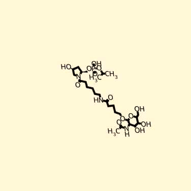 CC(=O)NC1C(OCCCCC(=O)NCCCCCC(=O)N2C[C@H](O)C[C@H]2COP(=O)(O)OC(C)C)OC(CO)C(O)C1O